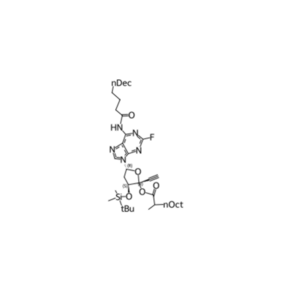 C#C[C@]1(OC(=O)C(C)CCCCCCCC)O[C@@H](n2cnc3c(NC(=O)CCCCCCCCCCCCC)nc(F)nc32)C[C@@H]1O[Si](C)(C)C(C)(C)C